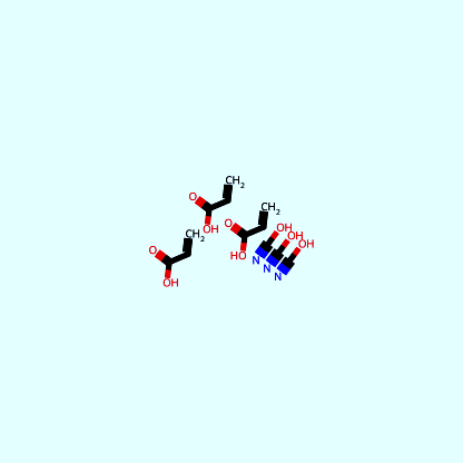 C=CC(=O)O.C=CC(=O)O.C=CC(=O)O.N#CO.N#CO.N#CO